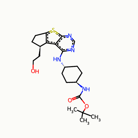 CC(C)(C)OC(=O)N[C@H]1CC[C@H](Nc2ncnc3sc4c(c23)[C@@H](CCO)CC4)CC1